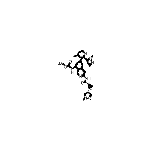 Cc1ccnc(-c2ccnn2C)c1-c1cc(NC(=O)OC(C)(C)C)c2cnc(NC(=O)[C@H]3C[C@@H]3C3C=NN(C)C3)cc2c1